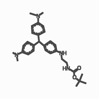 CN(C)c1ccc(C(c2ccc(NCCNC(=O)OC(C)(C)C)cc2)c2ccc(N(C)C)cc2)cc1